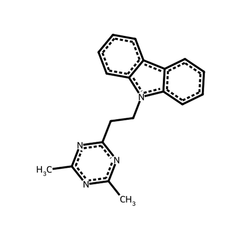 Cc1nc(C)nc(CCn2c3ccccc3c3ccccc32)n1